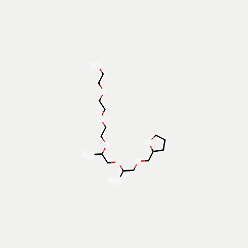 CC(COCC1CCCO1)OCC(C)OCCOCCOCCO